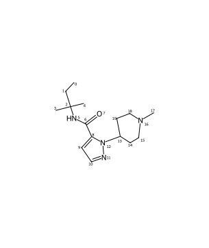 CCC(C)(C)NC(=O)c1ccnn1C1CCN(C)CC1